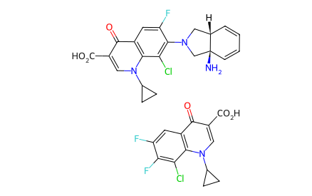 N[C@]12C=CC=C[C@H]1CN(c1c(F)cc3c(=O)c(C(=O)O)cn(C4CC4)c3c1Cl)C2.O=C(O)c1cn(C2CC2)c2c(Cl)c(F)c(F)cc2c1=O